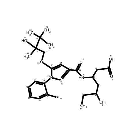 CCC(C)CC(CC(=O)O)NC(=O)c1cc(OCC(C)(O)C(C)(C)C)n(-c2ccccc2F)n1